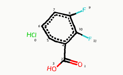 Cl.O=C(O)c1cccc(F)c1F